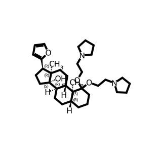 C[C@@]12[C@H](CCCC1(OCCN1CCCC1)OCCN1CCCC1)CC[C@@H]1[C@@H]2CC[C@]2(C)[C@H](c3ccco3)CC[C@]12O